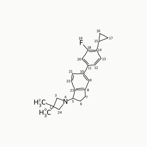 CC1(C)CN(C2CCc3cc(-c4ccc(C5CC5)c(F)c4)ccc32)C1